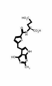 Cc1nc(O)c2c(Cc3ccc(C(=O)N[C@@H](CCC(=O)O)C(=O)O)s3)c[nH]c2n1